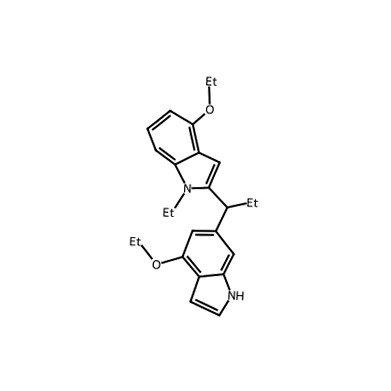 CCOc1cc(C(CC)c2cc3c(OCC)cccc3n2CC)cc2[nH]ccc12